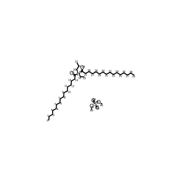 CCCCCCCCCCCCCCCC(=O)[N+](CC)(CCC)C(=O)CCCCCCCCCCCCCCC.COS(=O)(=O)OC